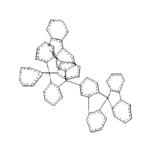 c1ccc(C2(c3ccccc3C(c3ccc4c(c3)-c3ccccc3C43c4ccccc4-c4ccccc43)c3ccc4c(c3)oc3ccccc34)c3ccccc3-c3ccccc32)cc1